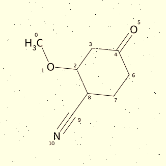 COC1CC(=O)CCC1C#N